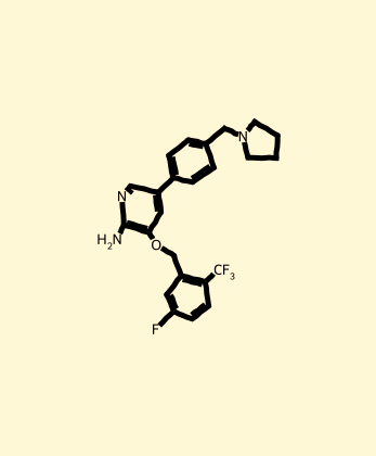 Nc1ncc(-c2ccc([CH]N3CCCC3)cc2)cc1OCc1cc(F)ccc1C(F)(F)F